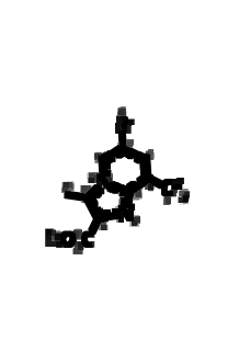 CCOC(=O)c1nc2c(C(F)(F)F)cc(Br)cn2c1C